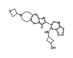 OC1CC(Nc2c(-c3nc4cc5c(cc4[nH]3)CCN(C3COC3)CC5)cnc3ccsc23)C1